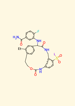 CCc1cc2ccc1CCOC(=O)Nc1ccc(S(=O)(=O)I)c(c1)CNC(=O)C2Nc1cc(C(N)=O)ccc1F